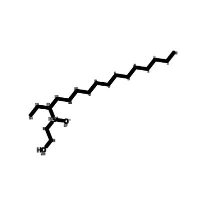 CCCCCCCCCCCCCC(CC)[S+]([O-])CCO